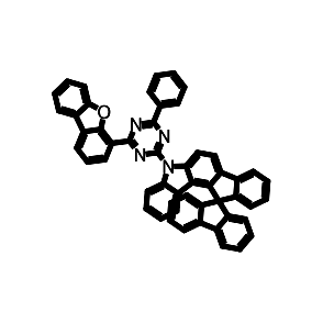 c1ccc(-c2nc(-c3cccc4c3oc3ccccc34)nc(-n3c4ccccc4c4c5c(ccc43)-c3ccccc3C53c4ccccc4-c4ccccc43)n2)cc1